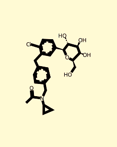 CC(=O)N(Cc1ccc(Cc2cc([C@@H]3O[C@H](CO)[C@@H](O)[C@H](O)[C@H]3O)ccc2Cl)cc1)C1CC1